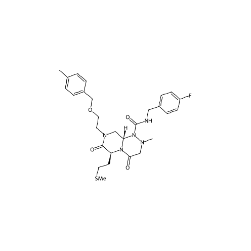 CSCC[C@H]1C(=O)N(CCOCc2ccc(C)cc2)C[C@H]2N1C(=O)CN(C)N2C(=O)NCc1ccc(F)cc1